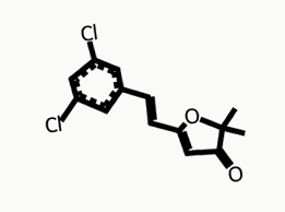 CC1(C)OC(/C=C/c2cc(Cl)cc(Cl)c2)=CC1=O